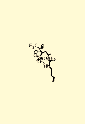 C=CCCNC(=O)NC(C)CC(S(=O)(=O)C(F)(F)F)S(=O)(=O)C(F)(F)F